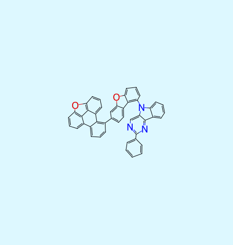 c1ccc(-c2ncc3c(n2)c2ccccc2n3-c2cccc3oc4cc(-c5cccc6c7cccc8oc9cccc(c56)c9c87)ccc4c23)cc1